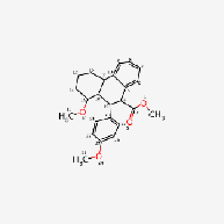 COC(=O)C1c2ccccc2C2CCCC(OC)C2C1c1ccc(OC)cc1